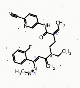 C=C(/C=C(\N=N/C)c1ccccc1F)[C@H](CC)CC/C(=C/C)C(=O)Nc1ccc(C#N)nc1